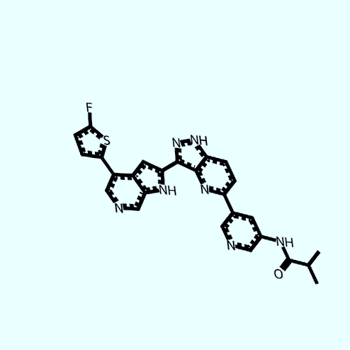 CC(C)C(=O)Nc1cncc(-c2ccc3[nH]nc(-c4cc5c(-c6ccc(F)s6)cncc5[nH]4)c3n2)c1